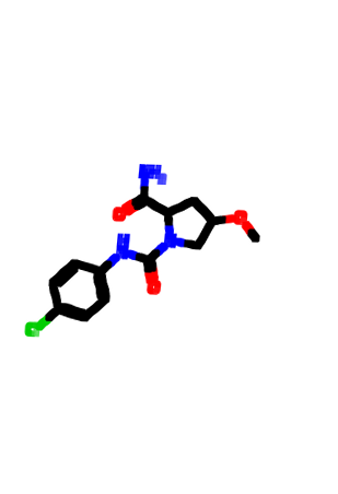 COC1CC(C(N)=O)N(C(=O)Nc2ccc(Cl)cc2)C1